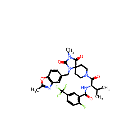 Cc1nc2cc(CN3C(=O)N(C)C(=O)C34CCN(C(=O)[C@H](NC(=O)c3cc(C(F)(F)F)ccc3F)C(C)C)CC4)ccc2o1